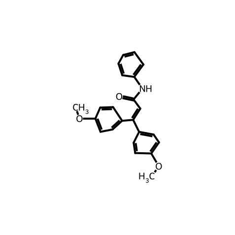 COc1ccc(C(=CC(=O)Nc2ccccc2)c2ccc(OC)cc2)cc1